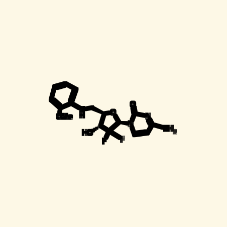 COc1ccccc1NC[C@H]1O[C@@H](n2ccc(N)nc2=O)C(F)(F)[C@@H]1O